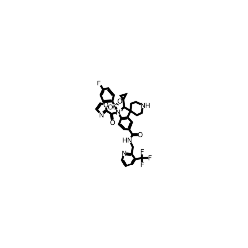 O=C(NCc1ncccc1C(F)(F)F)c1ccc2c(c1)C1(CCNCC1)C(C1CC1)[N+]2(C(=O)c1ncco1)S(=O)(=O)c1ccc(F)cc1